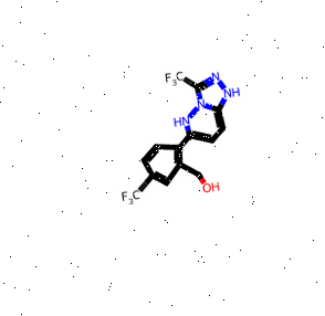 OCc1cc(C(F)(F)F)ccc1C1=CC=C2NN=C(C(F)(F)F)N2N1